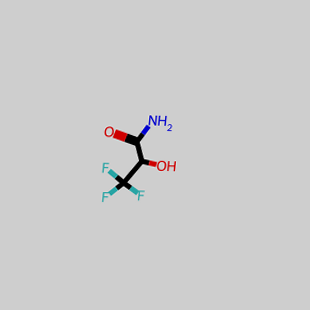 NC(=O)C(O)C(F)(F)F